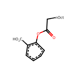 CCCCCCCCCC(=O)Oc1ccccc1C(=O)O